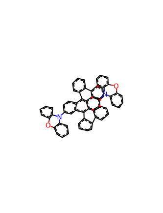 c1ccc(-c2ccccc2-c2c3ccc(N4c5ccccc5Oc5ccccc54)cc3c(-c3ccccc3-c3ccccc3)c3ccc(N4c5ccccc5Oc5ccccc54)cc23)cc1